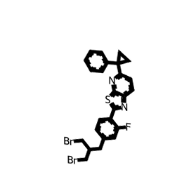 Fc1cc(CC(CBr)CBr)ccc1-c1nc2ccc(C3(c4ccccc4)CC3)nc2s1